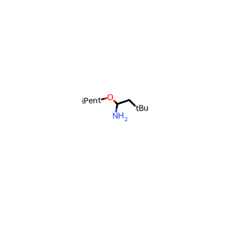 CCCC(C)OC(N)CC(C)(C)C